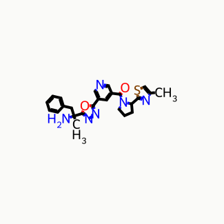 Cc1csc(C2CCCN2C(=O)c2cncc(-c3nnc(C(C)(N)Cc4ccccc4)o3)c2)n1